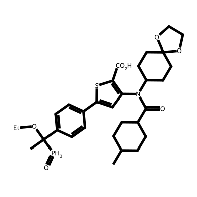 CCOC(C)([PH2]=O)c1ccc(-c2cc(N(C(=O)C3CCC(C)CC3)C3CCC4(CC3)OCCO4)c(C(=O)O)s2)cc1